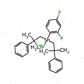 CC(C)([CH2][Sn]([Br])([CH2]C(C)(C)c1ccccc1)[c]1ccc(F)cc1F)c1ccccc1